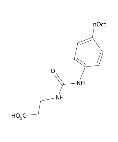 CCCCCCCCc1ccc(NC(=O)NCCC(=O)O)cc1